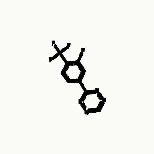 Fc1cc(-c2nncnn2)ccc1C(F)(F)F